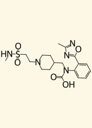 CNS(=O)(=O)CCN1CCC(CN(C(=O)O)c2ccccc2-c2nc(C)no2)CC1